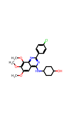 COc1cc2c(NC3CCC(O)CC3)nc(-c3ccc(Cl)cc3)nc2c(OC)c1OC